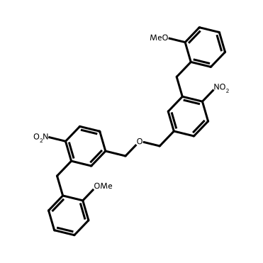 COc1ccccc1Cc1cc(COCc2ccc([N+](=O)[O-])c(Cc3ccccc3OC)c2)ccc1[N+](=O)[O-]